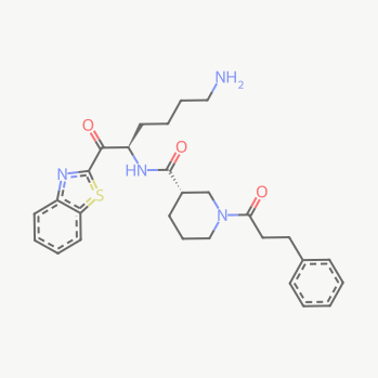 NCCCC[C@@H](NC(=O)[C@H]1CCCN(C(=O)CCc2ccccc2)C1)C(=O)c1nc2ccccc2s1